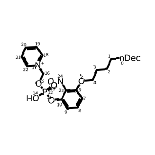 CCCCCCCCCCCCCCOc1cccc(OP(=O)(O)OC[n+]2ccccc2)c1[N+](=O)[O-]